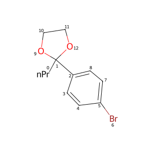 CCCC1(c2ccc(Br)cc2)OCCO1